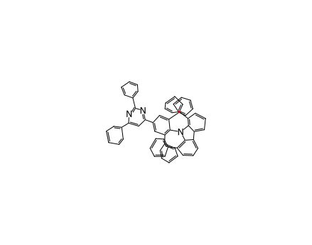 c1ccc(-c2cc(-c3cc(-c4ccccc4)c(-n4c5c(-c6ccccc6)cccc5c5cccc(-c6ccccc6)c54)c(-c4ccccc4)c3)nc(-c3ccccc3)n2)cc1